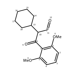 COc1cccc(OC)c1C(=O)C(P=O)C1CCCCC1